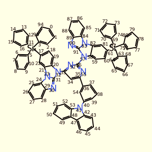 c1ccc([Si](c2ccccc2)(c2ccccc2)c2ccc3c(c2)n2c4ccccc4nc2n3-c2cc(-c3cccc(-n4c5ccccc5c5ccccc54)c3)nc(-n3c4ccc([Si](c5ccccc5)(c5ccccc5)c5ccccc5)cc4n4c5ccccc5nc34)n2)cc1